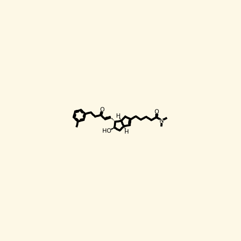 Cc1cccc(CCC(=O)/C=C/[C@@H]2[C@H]3CC(CCCCC(=O)N(C)C)=C[C@H]3C[C@H]2O)c1